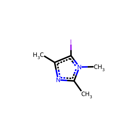 Cc1nc(C)n(C)c1I